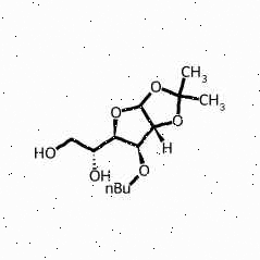 CCCCO[C@H]1[C@@H]([C@H](O)CO)OC2OC(C)(C)O[C@@H]21